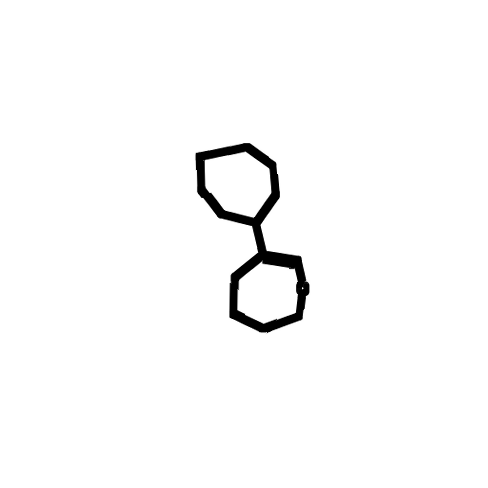 C1=C(C2CCCCCC2)CCCCO1